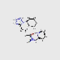 CN(Cc1ccccn1)C(=O)CCCc1nnnn1C1CCCCC1